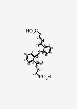 O=C(O)CC=NC(=O)c1ccccc1SSc1ccccc1C(=O)N=CCC(=O)O